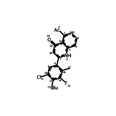 CC(=O)c1nccc2[nH]c(-c3cc(Cl)c(C(C)(C)C)c(F)c3C)cc(=O)c12